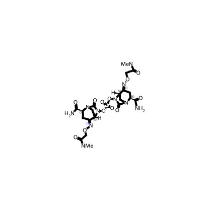 CNC(=O)CO/N=C1\C[C@@H](C(N)=O)N2C[C@@H]1N(OS(=O)(=O)ON1C(=O)N3C[C@H]1/C(=N/OCC(=O)NC)C[C@H]3C(N)=O)C2=O